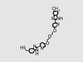 Cc1ccc2[nH]c(-c3ccc(OCCOCCOc4ccc(-c5nc6cc(CS)ccc6[nH]5)nc4)cn3)nc2c1